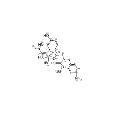 CC(C)(C)OC(=O)N(Cc1ccc(N)cc1)C[C@H](O[Si](C)(C)C(C)(C)C)c1ccc(O)c2[nH]c(=O)ccc12